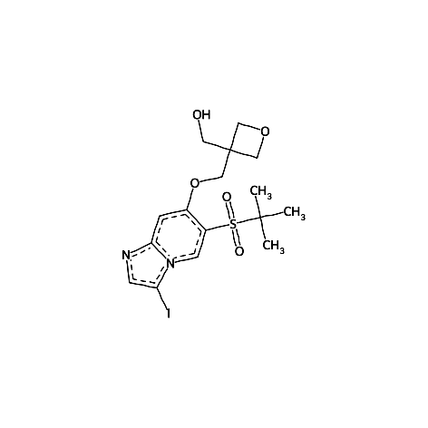 CC(C)(C)S(=O)(=O)c1cn2c(I)cnc2cc1OCC1(CO)COC1